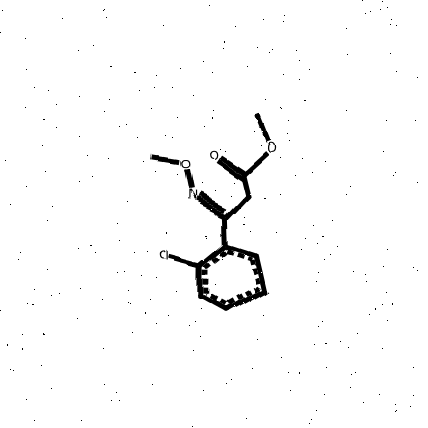 CON=C(CC(=O)OC)c1c[c]ccc1Cl